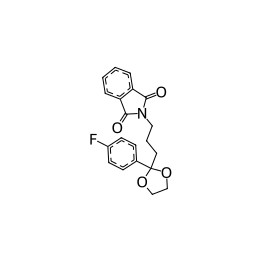 O=C1c2ccccc2C(=O)N1CCCC1(c2ccc(F)cc2)OCCO1